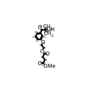 COC(=O)CCC(=O)OCCOc1cccc(C(=O)C(C)(C)O)c1